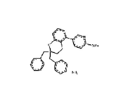 COc1ccc(-c2cccc3c2CCC(Cc2ccccc2)(Cc2ccccc2)O3)cn1.N